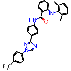 Cc1cccc(C)c1Nc1ccccc1C(=O)Nc1ccc(-c2ncn(-c3ccc(C(F)(F)F)cc3)n2)cc1